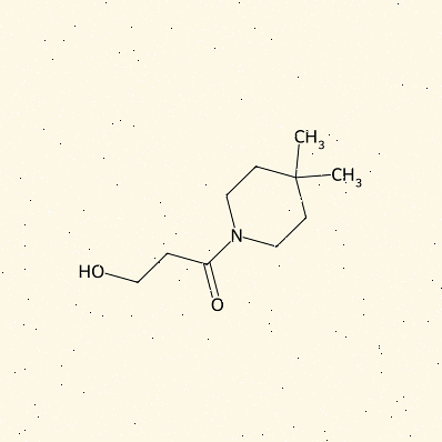 CC1(C)CCN(C(=O)CCO)CC1